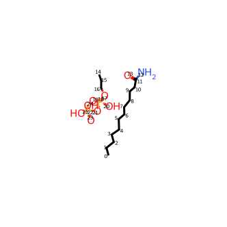 CCCCCCCCCCCC(N)=O.CCCOP(=O)(O)OP(=O)(O)O